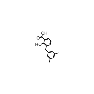 Cc1cc(C)cc(Cc2cccc(C(=O)O)c2O)c1